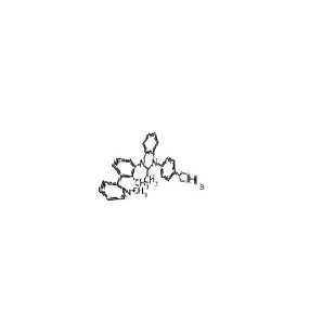 Cc1ccc(N2c3ccccc3N(c3cccc(-c4cccc[n+]4C)c3C)C2C)cc1